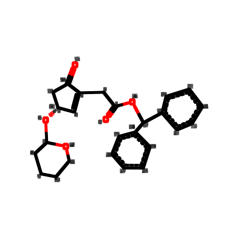 O=C(CC1=C[C@H](OC2CCCCO2)CC1=O)OC(c1ccccc1)c1ccccc1